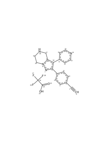 C#Cc1ccc(-c2nn3c(c2-c2ccncc2)CNCC3)cc1.O=C(O)C(F)(F)F